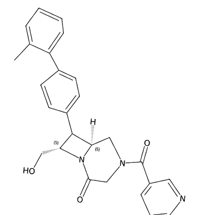 Cc1ccccc1-c1ccc(C2[C@@H](CO)N3C(=O)CN(C(=O)c4cccnc4)C[C@H]23)cc1